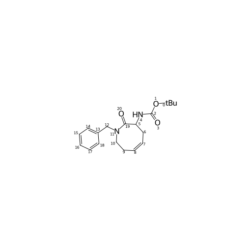 CC(C)(C)OC(=O)NC1C/C=C\CCN(Cc2ccccc2)C1=O